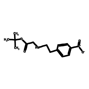 CC(C)(C)OC(=O)CNCCc1ccc([N+](=O)[O-])cc1